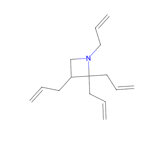 C=CCC1CN(CC=C)C1(CC=C)CC=C